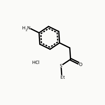 CCSC(=O)Cc1ccc(N)cc1.Cl